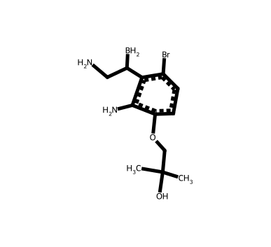 BC(CN)c1c(Br)ccc(OCC(C)(C)O)c1N